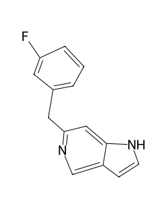 Fc1cccc(Cc2cc3[nH]ccc3cn2)c1